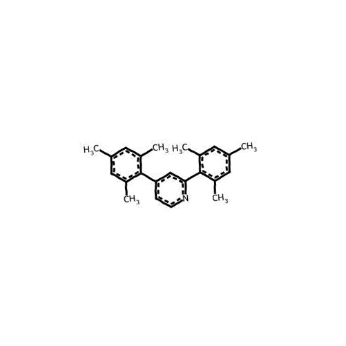 Cc1cc(C)c(-c2ccnc(-c3c(C)cc(C)cc3C)c2)c(C)c1